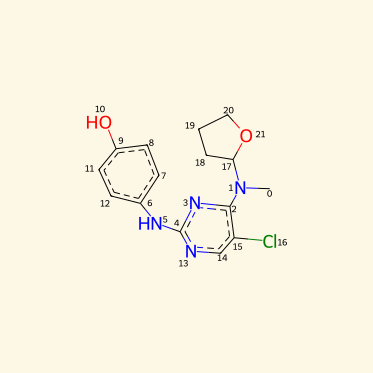 CN(c1nc(Nc2ccc(O)cc2)ncc1Cl)C1CCCO1